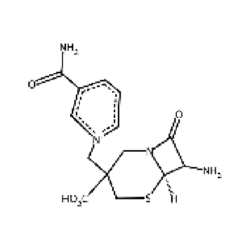 NC(=O)c1ccc[n+](CC2(C(=O)O)CS[C@@H]3C(N)C(=O)N3C2)c1